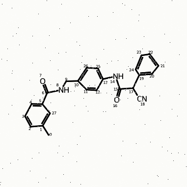 Cc1cccc(C(=O)NCc2ccc(NC(=O)C(C#N)c3ccccc3)cc2)c1